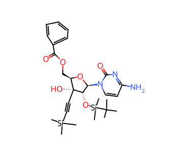 CC(C)(C)[Si](C)(C)O[C@H]1[C@H](n2ccc(N)nc2=O)O[C@H](COC(=O)c2ccccc2)[C@]1(O)C#C[Si](C)(C)C